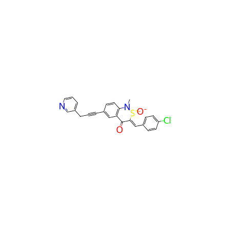 CN1c2ccc(C#CCc3cccnc3)cc2C(=O)/C(=C/c2ccc(Cl)cc2)[S+]1[O-]